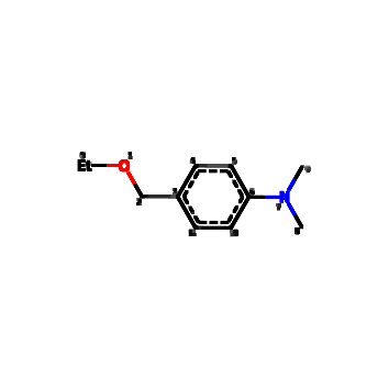 CCOCc1ccc(N(C)C)cc1